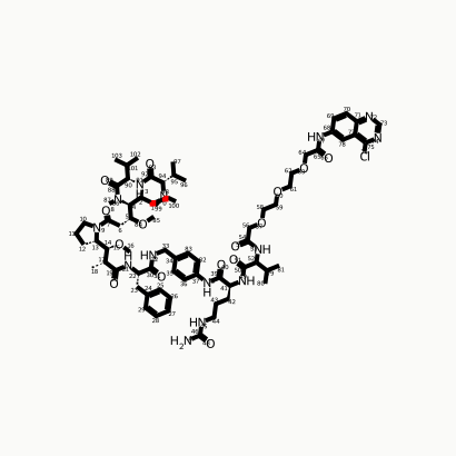 CC[C@H](C)[C@@H]([C@@H](CC(=O)N1CCC[C@H]1[C@H](OC)[C@@H](C)C(=O)N[C@@H](Cc1ccccc1)C(=O)NCc1ccc(NC(=O)[C@H](CCCNC(N)=O)NC(=O)C(NC(=O)COCCOCCOCC(=O)Nc2ccc3ncnc(Cl)c3c2)C(C)C)cc1)OC)N(C)C(=O)[C@@H](NC(=O)[C@H](C(C)C)N(C)C)C(C)C